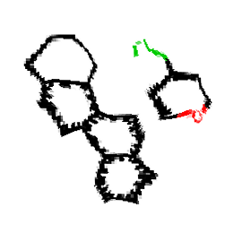 ClC1=CCOC=C1.c1ccc2c(c1)ccc1c3c(ccc12)CCCC3